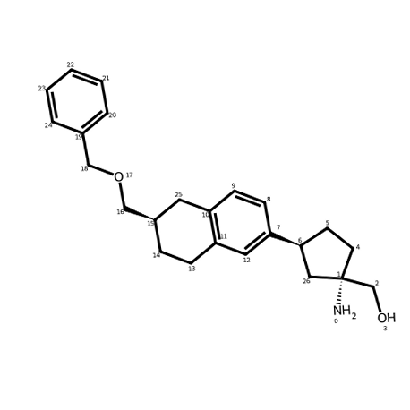 N[C@@]1(CO)CC[C@H](c2ccc3c(c2)CC[C@@H](COCc2ccccc2)C3)C1